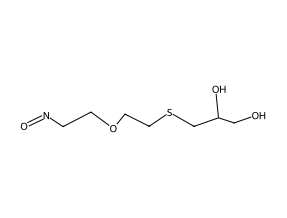 O=NCCOCCSCC(O)CO